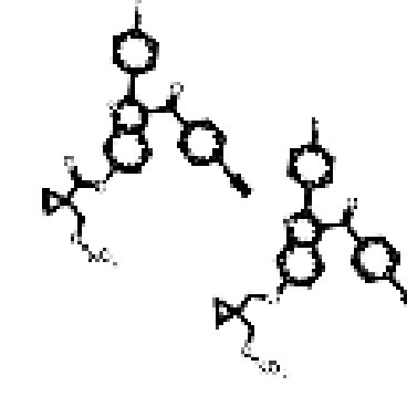 C#Cc1ccc(C(=O)c2c(-c3ccc(F)cc3)sc3cc(OC(=O)C4(CO[N+](=O)[O-])CC4)ccc23)cc1.C#Cc1ccc(C(=O)c2c(-c3ccc(F)cc3)sc3cc(OCC4(CO[N+](=O)[O-])CC4)ccc23)cc1